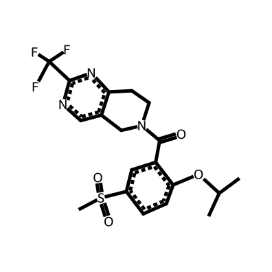 CC(C)Oc1ccc(S(C)(=O)=O)cc1C(=O)N1CCc2nc(C(F)(F)F)ncc2C1